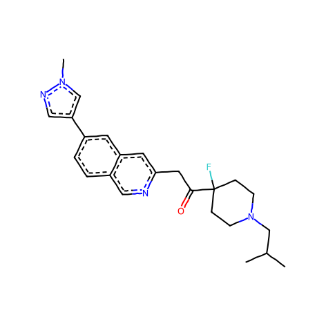 CC(C)CN1CCC(F)(C(=O)Cc2cc3cc(-c4cnn(C)c4)ccc3cn2)CC1